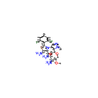 CO[C@H]1COC(c2c(N3C(C(N)=O)=C(N)SC3c3c(F)cccc3F)cnn2C)CC[C@@H]1N